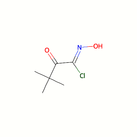 CC(C)(C)C(=O)C(Cl)=NO